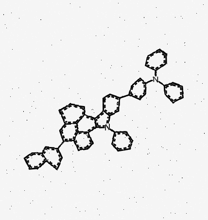 c1ccc(N(c2ccccc2)c2ccc(-c3ccc4c5c6cccc7cc(-c8ccc9ccccc9c8)c8cccc(c8c76)c5n(-c5ccccc5)c4c3)cc2)cc1